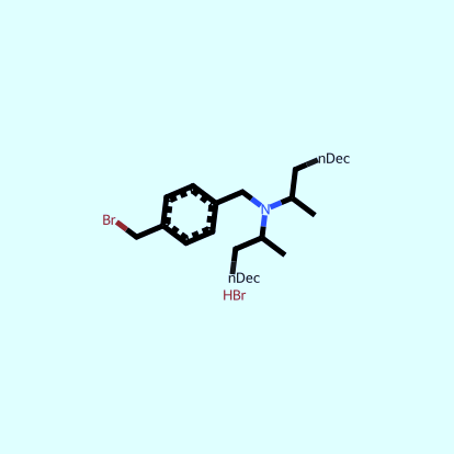 Br.CCCCCCCCCCCC(C)N(Cc1ccc(CBr)cc1)C(C)CCCCCCCCCCC